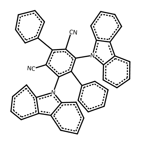 N#Cc1c(-c2ccccc2)c(C#N)c(-n2c3ccccc3c3ccccc32)c(-c2ccccc2)c1-n1c2ccccc2c2ccccc21